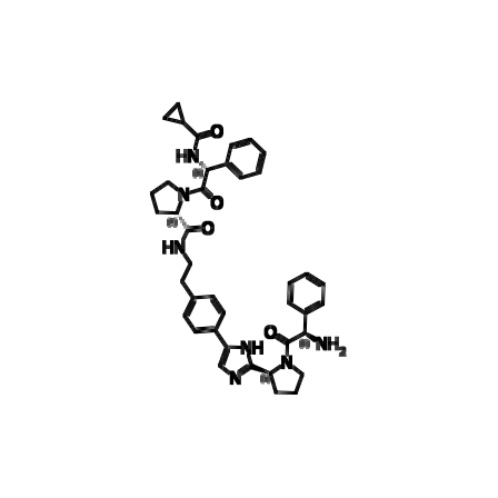 N[C@@H](C(=O)N1CCC[C@H]1c1ncc(-c2ccc(CCNC(=O)[C@@H]3CCCN3C(=O)[C@H](NC(=O)C3CC3)c3ccccc3)cc2)[nH]1)c1ccccc1